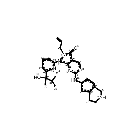 C=CCn1c(=O)c2cnc(Nc3ccc4c(c3)CCNC4)nc2n1-c1cccc(C(C)(O)C(F)F)n1